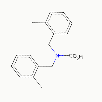 Cc1ccccc1CN(Cc1ccccc1C)C(=O)O